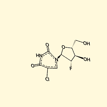 O=c1[nH]c(=O)n([C@H]2O[C@H](CO)[C@@H](O)[C@@H]2F)cc1Cl